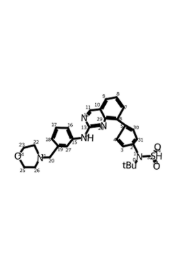 CC(C)(C)N(c1ccc(-c2cccc3cnc(Nc4cccc(CN5CCOCC5)c4)nc23)cc1)[SH](=O)=O